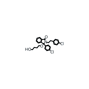 O=C1c2ccccc2C(OCCCCO)(c2ccc(Cl)cc2)N1CCc1ccc(Cl)cc1